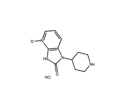 Cl.O=c1[nH]c2c(ccc[n+]2[O-])n1C1CCNCC1